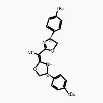 CC(C)(C)c1ccc([C@H]2COC(C(C#N)=C3N[C@@H](c4ccc(C(C)(C)C)cc4)CO3)=N2)cc1